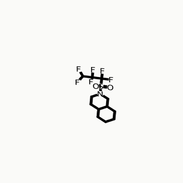 O=S(=O)(N1CCC2CCCCC2C1)C(F)(F)C(F)(F)C(F)F